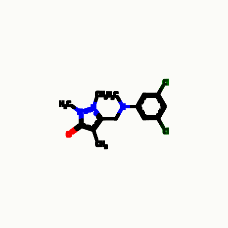 Cc1c(CN(C)c2cc(Cl)cc(Cl)c2)n(C)n(C)c1=O